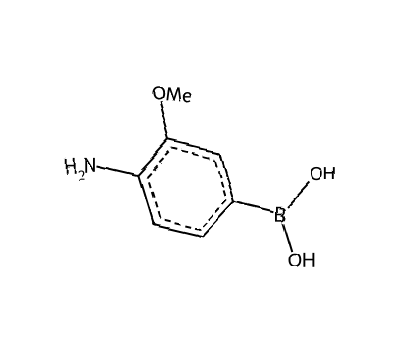 COc1cc(B(O)O)ccc1N